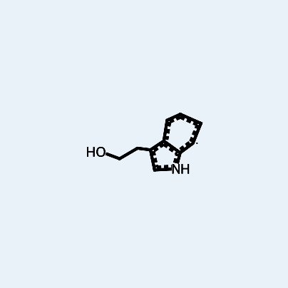 OCCc1c[nH]c2[c]cccc12